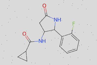 O=C1CC(NC(=O)C2CC2)C(c2ccccc2F)N1